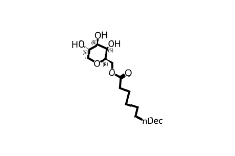 CCCCCCCCCCCCCCCC(=O)OC[C@H]1O[CH][C@H](O)[C@@H](O)[C@@H]1O